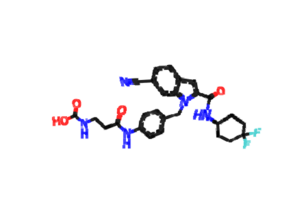 N#Cc1ccc2cc(C(=O)NC3CCC(F)(F)CC3)n(Cc3ccc(NC(=O)CCNC(=O)O)cc3)c2c1